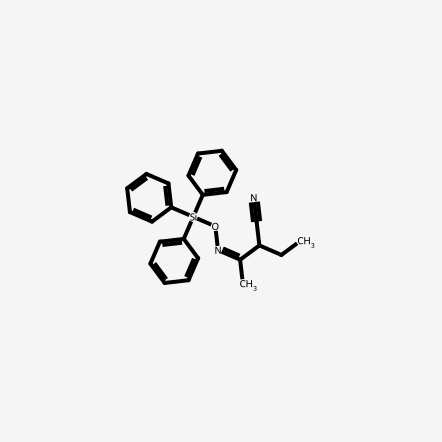 CCC(C#N)C(C)=NO[Si](c1ccccc1)(c1ccccc1)c1ccccc1